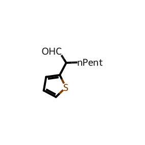 CCCCCC(C=O)c1cccs1